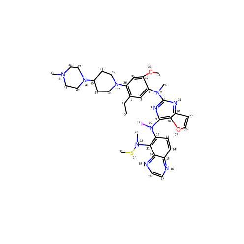 CCc1cc(N(C)c2nc(N(I)c3ccc4nccnc4c3N(C)SC)c3occc3n2)c(OC)cc1N1CCC(N2CCN(C)CC2)CC1